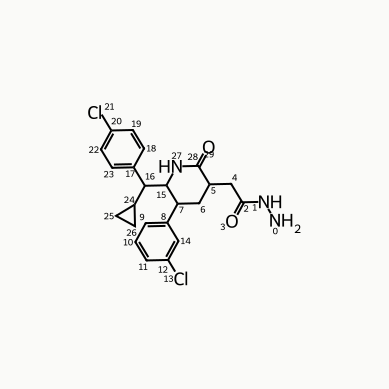 NNC(=O)CC1CC(c2cccc(Cl)c2)C(C(c2ccc(Cl)cc2)C2CC2)NC1=O